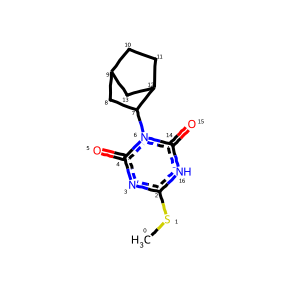 CSc1nc(=O)n(C2CC3CCC2C3)c(=O)[nH]1